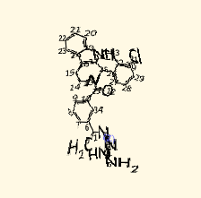 C=C(/N=N\NN)c1cccc(C(=O)N2CCc3c([nH]c4ccccc34)C2c2cccc(Cl)c2Cl)c1